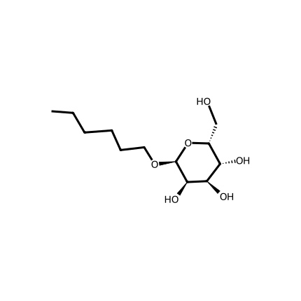 CCCCCCO[C@H]1O[C@H](CO)[C@H](O)[C@@H](O)[C@H]1O